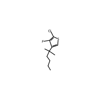 CCCCC(C)(C)c1csc(Cl)c1F